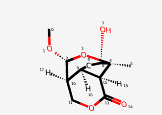 CO[C@@H]1O[C@]2(C)[C@@H](O)C[C@@H]3[C@H]1COC(=O)[C@@H]32